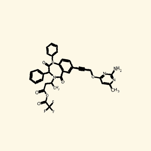 Cc1cc(OCC#Cc2ccc3c(c2)C(=O)N(C(C)CC(=O)OC(=O)C(F)(F)F)C(c2ccccc2)C(=O)N3c2ccccc2)nc(N)n1